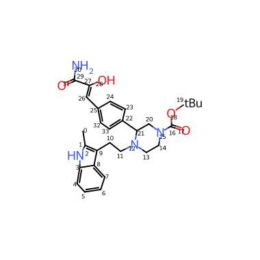 Cc1[nH]c2ccccc2c1CCN1CCN(C(=O)OC(C)(C)C)CC1c1ccc(C=C(O)C(N)=O)cc1